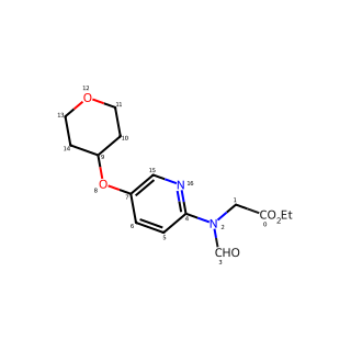 CCOC(=O)CN(C=O)c1ccc(OC2CCOCC2)cn1